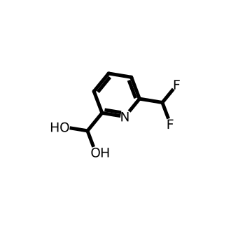 OC(O)c1cccc(C(F)F)n1